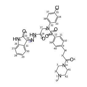 CN1CCN(C(=O)CCc2ccc(S(=O)(=O)N(CC(=O)N/N=C3\C(=O)Nc4ccccc43)c3ccc(Cl)cc3)cc2)CC1